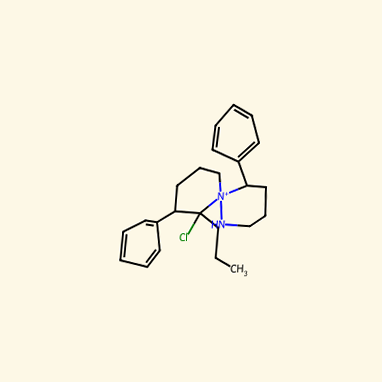 CCCC1(Cl)C(c2ccccc2)CCC[N+]12NCCCC2c1ccccc1